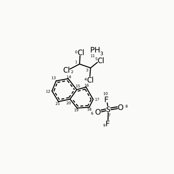 ClC(Cl)C(Cl)Cl.O=S(=O)(F)F.P.c1ccc2ccccc2c1